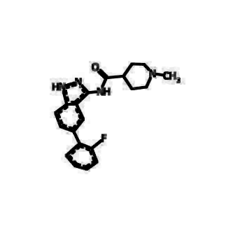 CN1CCC(C(=O)Nc2n[nH]c3ccc(-c4ccccc4F)cc23)CC1